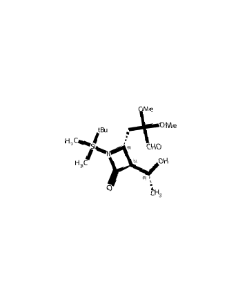 COC(C=O)(C[C@@H]1[C@@H]([C@@H](C)O)C(=O)N1[Si](C)(C)C(C)(C)C)OC